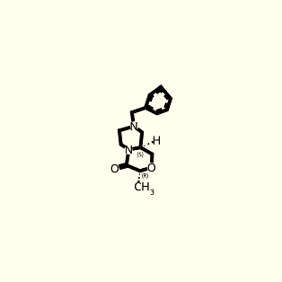 C[C@H]1OC[C@@H]2CN(Cc3ccccc3)CCN2C1=O